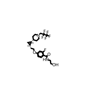 O=C(NCCO)c1ccc(OCC[C@@H]2C[C@@H]2C2CCN(CC(F)(F)C(F)(F)F)CC2)cc1F